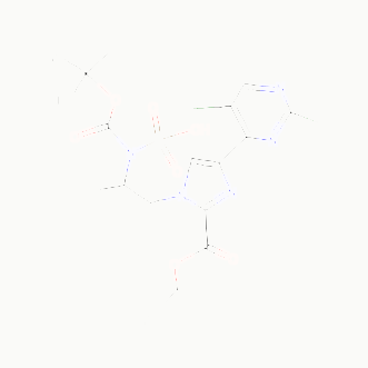 CCOC(=O)c1nc(-c2nc(Cl)ncc2Cl)cn1CC(C)N(C(=O)OC(C)(C)C)S(=O)(=O)O